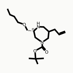 C=CCC1CN[C@@H](COCCCC)CN(C(=O)OC(C)(C)C)C1